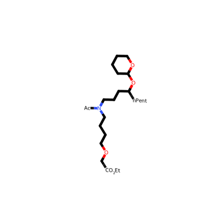 CCCCCC(CCCN(CCCCOCC(=O)OCC)C(C)=O)OC1CCCCO1